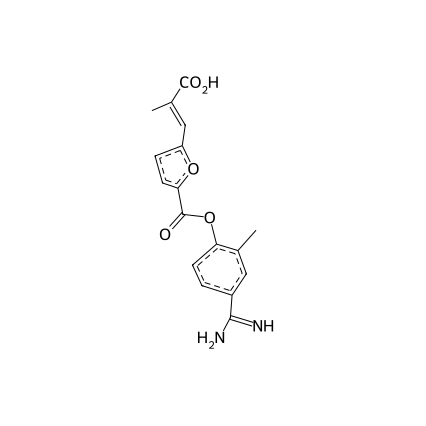 C/C(=C\c1ccc(C(=O)Oc2ccc(C(=N)N)cc2C)o1)C(=O)O